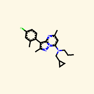 CCCN(CC1CC1)c1cc(C)nc2c(-c3ccc(Cl)cc3C)c(C)nn12